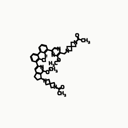 COc1nc(-c2cccc(-c3cccc(-c4cc5c(c(OC)n4)C(N4CC6(CN(C(C)=O)C6)C4)CC5)c3Cl)c2F)cnc1CN1CC2(C1)CN(C(C)=O)C2